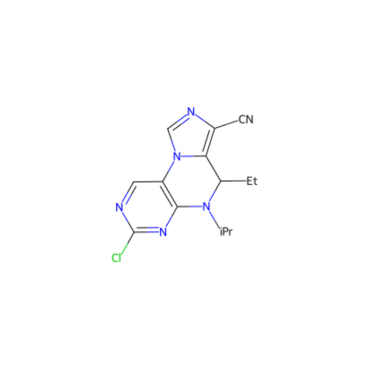 CCC1c2c(C#N)ncn2-c2cnc(Cl)nc2N1C(C)C